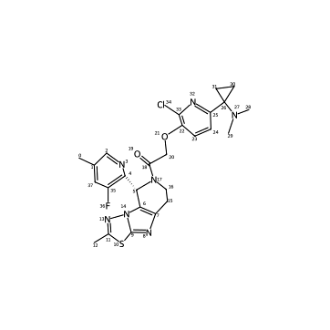 Cc1cnc([C@H]2c3c(nc4sc(C)nn34)CCN2C(=O)COc2ccc(C3(N(C)C)CC3)nc2Cl)c(F)c1